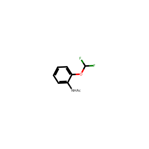 CC(=O)Nc1ccccc1OC(F)F